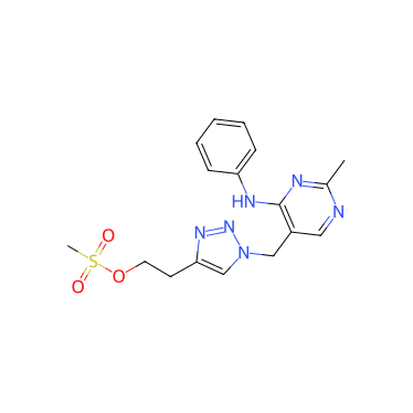 Cc1ncc(Cn2cc(CCOS(C)(=O)=O)nn2)c(Nc2ccccc2)n1